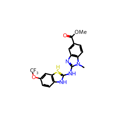 COC(=O)c1ccc2c(c1)nc(NC1=[SH]c3cc(OC(F)(F)F)ccc3N1)n2C